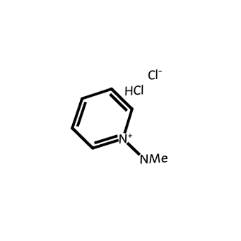 CN[n+]1ccccc1.Cl.[Cl-]